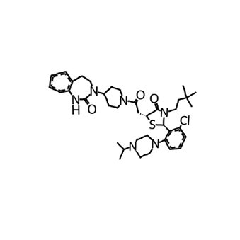 CC(C)N1CCN(c2cccc(Cl)c2[C@H]2S[C@H](CC(=O)N3CCC(N4CCc5ccccc5NC4=O)CC3)C(=O)N2CCC(C)(C)C)CC1